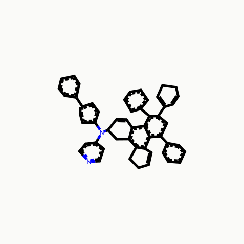 C1=CC(c2cc(-c3ccccc3)c3c4c(c5c(c3c2-c2ccccc2)C=CC(N(c2ccncc2)c2ccc(-c3ccccc3)cc2)C5)CCC=C4)=CCC1